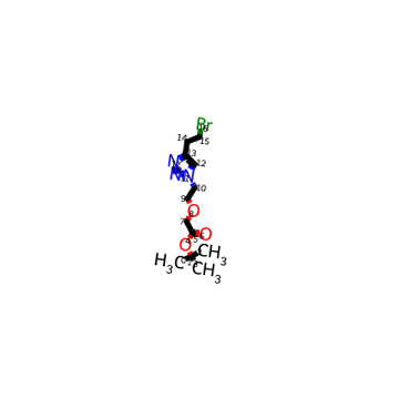 CC(C)(C)OC(=O)COCCn1cc(CCBr)nn1